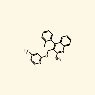 Cc1ccccc1-c1c(COc2cc(C(F)(F)F)ncn2)c(N)nc2ccccc12